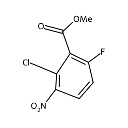 COC(=O)c1c(F)ccc([N+](=O)[O-])c1Cl